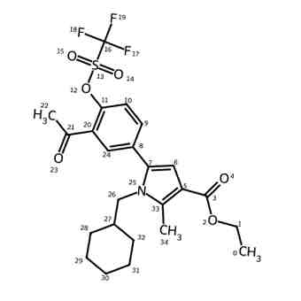 CCOC(=O)c1cc(-c2ccc(OS(=O)(=O)C(F)(F)F)c(C(C)=O)c2)n(CC2CCCCC2)c1C